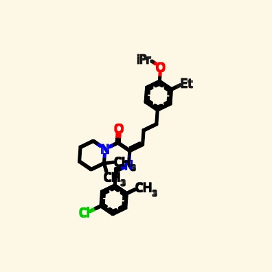 CCc1cc(CC/C=C(/N=C/c2cc(Cl)ccc2C)C(=O)N2CCCCC2(C)C)ccc1OC(C)C